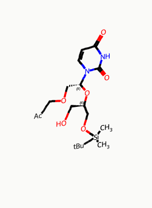 CC(=O)COC[C@@H](O[C@H](CO)CO[Si](C)(C)C(C)(C)C)n1ccc(=O)[nH]c1=O